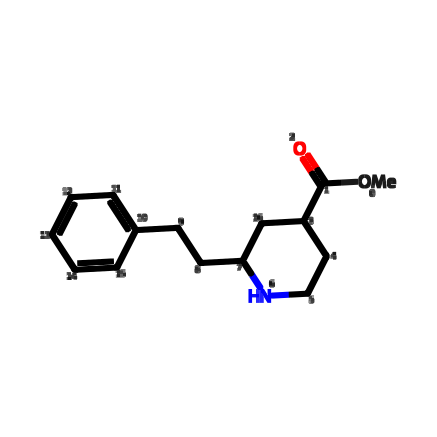 COC(=O)C1CCNC(CCc2ccccc2)C1